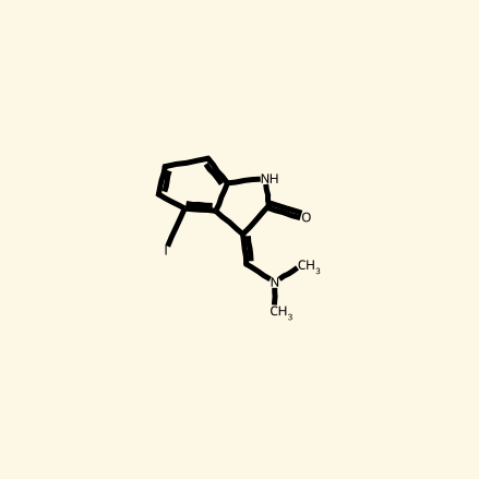 CN(C)/C=C1\C(=O)Nc2cccc(I)c21